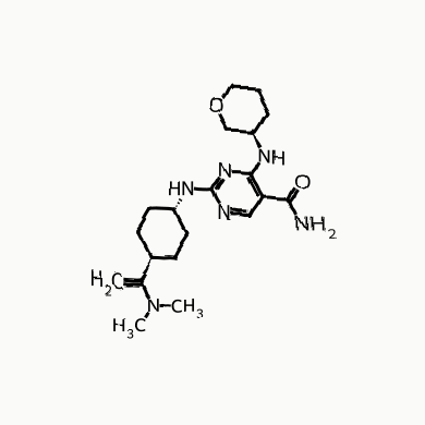 C=C([C@H]1CC[C@H](Nc2ncc(C(N)=O)c(N[C@@H]3CCCOC3)n2)CC1)N(C)C